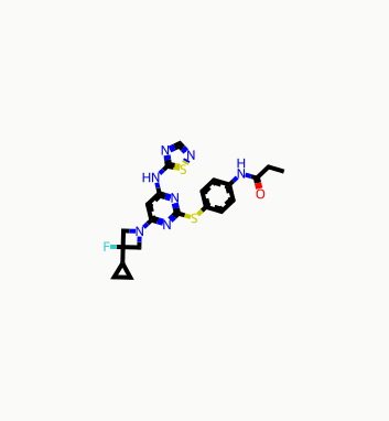 CCC(=O)Nc1ccc(Sc2nc(Nc3ncns3)cc(N3CC(F)(C4CC4)C3)n2)cc1